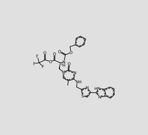 Cc1cn(C[C@H](NC(=O)OCc2ccccc2)C(=O)OC(=O)C(F)(F)F)c(=O)nc1NCc1nc(-c2nc3ccccc3[nH]2)cs1